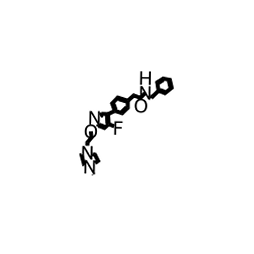 CN1CCN(CCOc2cc(F)c(-c3ccc(CC(=O)NCc4ccccc4)cc3)cn2)CC1